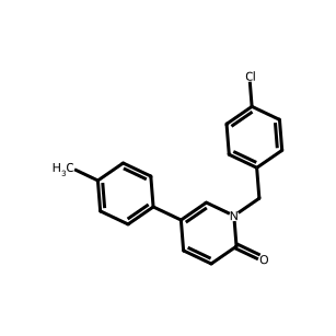 Cc1ccc(-c2ccc(=O)n(Cc3ccc(Cl)cc3)c2)cc1